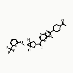 CC(=O)N1CCC(c2nc3ncc(C(=O)N4C[C@@H]5[C@H](COc6cccc(C(F)(F)F)n6)[C@@H]5C4)nc3n2C)CC1